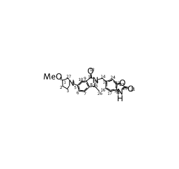 COC1CCN(c2ccc3c(c2)C(=O)N(Cc2ccc4[nH]c(=O)oc4c2)C3C)C1